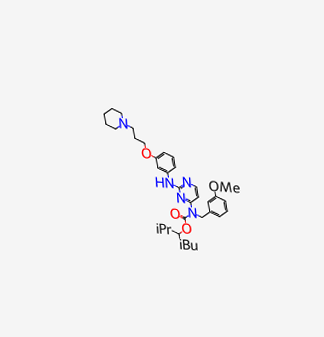 CCC(C)C(OC(=O)N(Cc1cccc(OC)c1)c1ccnc(Nc2cccc(OCCCN3CCCCC3)c2)n1)C(C)C